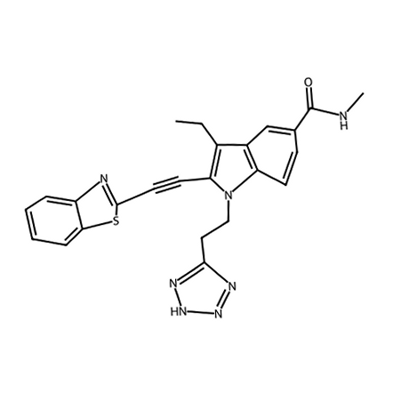 CCc1c(C#Cc2nc3ccccc3s2)n(CCc2nn[nH]n2)c2ccc(C(=O)NC)cc12